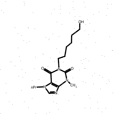 CCCn1cnc2c1c(=O)n(CCCCCCO)c(=O)n2C